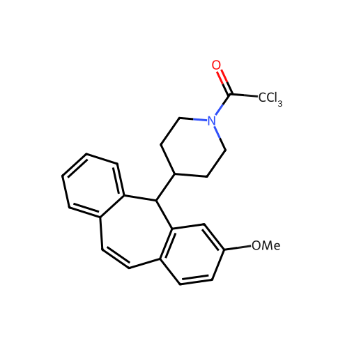 COc1ccc2c(c1)C(C1CCN(C(=O)C(Cl)(Cl)Cl)CC1)c1ccccc1C=C2